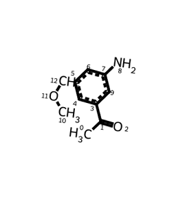 CC(=O)c1cccc(N)c1.COC